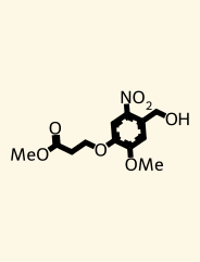 COC(=O)CCOc1cc([N+](=O)[O-])c(CO)cc1OC